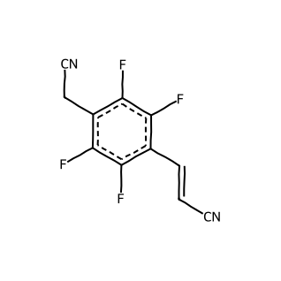 N#CC=Cc1c(F)c(F)c(CC#N)c(F)c1F